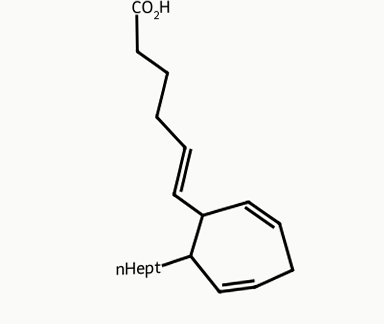 CCCCCCCC1C=CCC=CC1/C=C/CCCC(=O)O